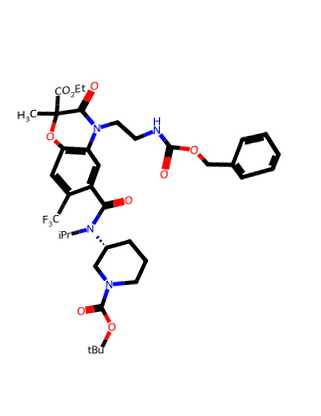 CCOC(=O)C1(C)Oc2cc(C(F)(F)F)c(C(=O)N(C(C)C)[C@@H]3CCCN(C(=O)OC(C)(C)C)C3)cc2N(CCNC(=O)OCc2ccccc2)C1=O